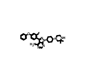 CC1(C)CN([C@H]2CC[C@H](n3nc(-c4ccc(Oc5ccccc5)cc4F)c4c(N)ncnc43)CC2)CCN1